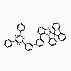 c1ccc(-c2nc(-c3ccccc3)nc(-c3cccc(-c4cccc(-c5cccc6nc7n(c56)-c5ccccc5C75c6ccccc6-c6ccccc65)c4)c3)n2)cc1